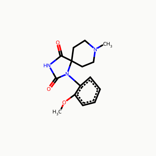 COc1ccccc1N1C(=O)NC(=O)C12CCN(C)CC2